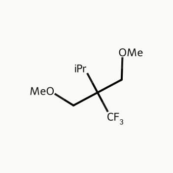 COCC(COC)(C(C)C)C(F)(F)F